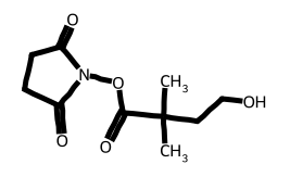 CC(C)(CCO)C(=O)ON1C(=O)CCC1=O